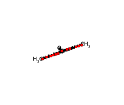 CCCCCCCCCCCCCCCCN(C[C]=O)CCCCCCCCCCCCCCCC